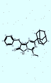 CSc1nc(C23CC4CC(CC(C4)C2)C3)nc2c(Cc3ccccc3)c(=O)[nH]n12